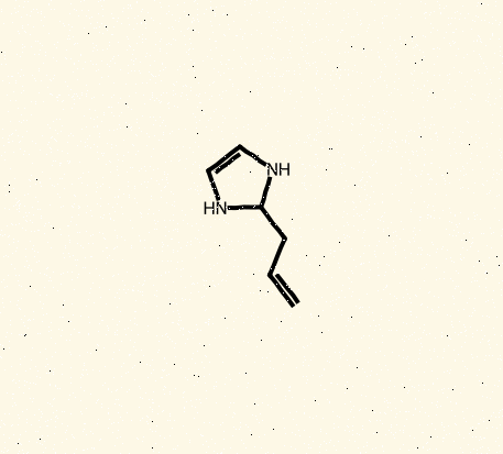 C=CCC1NC=CN1